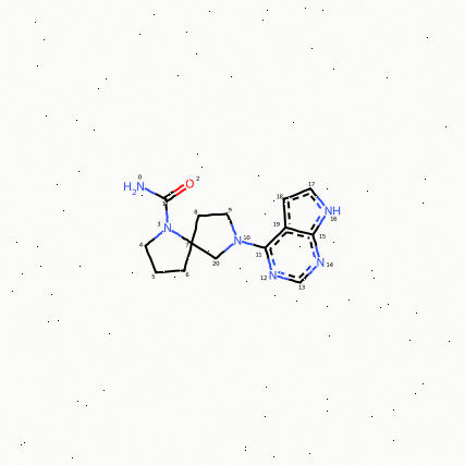 NC(=O)N1CCCC12CCN(c1ncnc3[nH]ccc13)C2